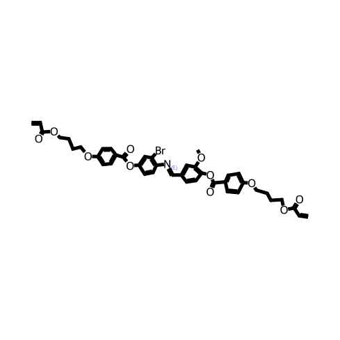 C=CC(=O)OCCCCOc1ccc(C(=O)Oc2ccc(/N=C/c3ccc(OC(=O)c4ccc(OCCCCOC(=O)C=C)cc4)c(OC)c3)c(Br)c2)cc1